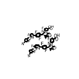 N#Cc1ccc(COc2nc(-c3cc(F)c(Cc4nc5c(F)cc(C(=O)O)cc5n4C4COCC45CC5)cc3F)ccc2F)c(F)c1.N#Cc1ccc(COc2nc(-c3cc(F)c(Cc4nc5c(F)cc(C(=O)O)cc5n4C4COCC45CC5)cc3F)ccc2F)c(F)c1